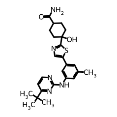 Cc1cc(Nc2nccc(C(C)(C)C)n2)cc(-c2cnc(C3(O)CCC(C(N)=O)CC3)s2)c1